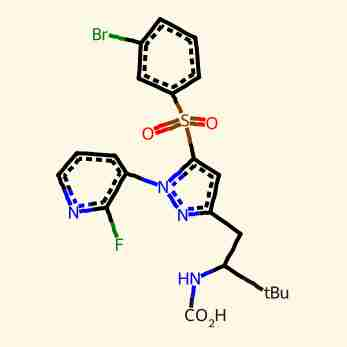 CC(C)(C)C(Cc1cc(S(=O)(=O)c2cccc(Br)c2)n(-c2cccnc2F)n1)NC(=O)O